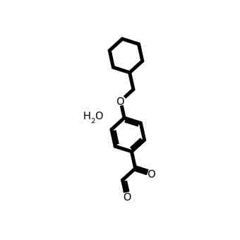 O.O=CC(=O)c1ccc(OCC2CCCCC2)cc1